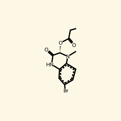 CCC(=O)O[C@H]1C(=O)Nc2cc(Br)ccc2N1C